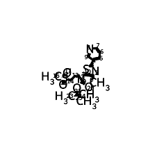 Cc1nc(-c2cccnc2)sc1N(CCS(C)(=O)=O)C(=O)OC(C)(C)C